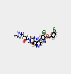 CC(C)N(C)C/C=C/C(=O)N1CCc2c(sc3ncc(C#N)c(Nc4ccc(OCc5cccc(F)c5)c(Cl)c4)c23)C1